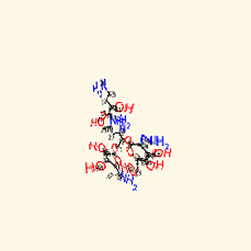 C[C@@H](N)[C@H]1O[C@@H](OC[C@H](O[C@H]2OC(CO)[C@@H](O)[C@H](O)C2N)C(N)C[C@H](CO)NC(=O)[C@@H](O)CCN)[C@@H](O)C1O